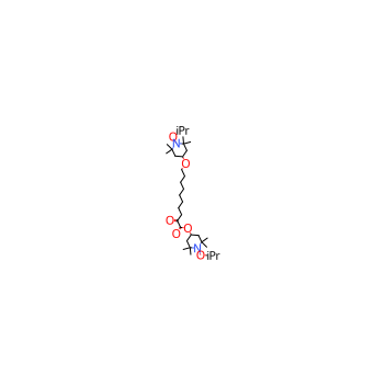 CC(C)ON1C(C)(C)CC(OCCCCCCCCC(=O)C(=O)OC2CC(C)(C)N(OC(C)C)C(C)(C)C2)CC1(C)C